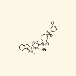 CC(C)C[C@H](NC(=O)c1cc2ccccc2n1C)C(=O)NC1CCCN(S(=O)(=O)c2cccc(Cl)c2)CC1=O